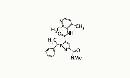 CNC(=O)c1cc(C(=O)Nc2c(C)ccnc2C)n(C(C)c2ccccc2)n1